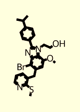 COc1cc(Cc2cccnc2SC)c(Br)c2nc(-c3ccc(C(C)C)cc3)n(CCO)c12